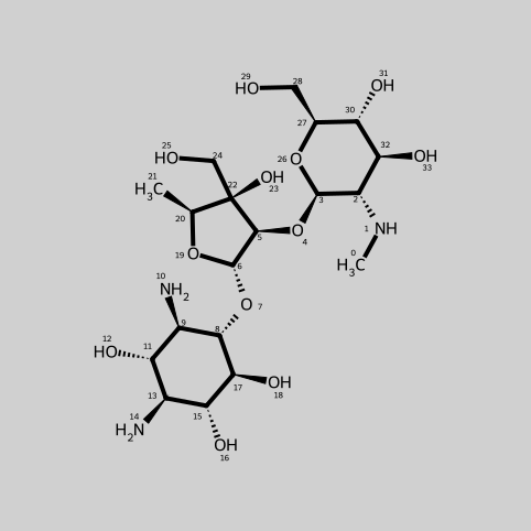 CN[C@@H]1[C@@H](O[C@H]2[C@H](O[C@H]3[C@H](N)[C@@H](O)[C@H](N)[C@@H](O)[C@@H]3O)O[C@@H](C)[C@]2(O)CO)O[C@@H](CO)[C@H](O)[C@H]1O